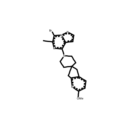 COc1ccc2c(n1)CC1(CCN(c3nc(C)c(Br)n4nccc34)CC1)C2